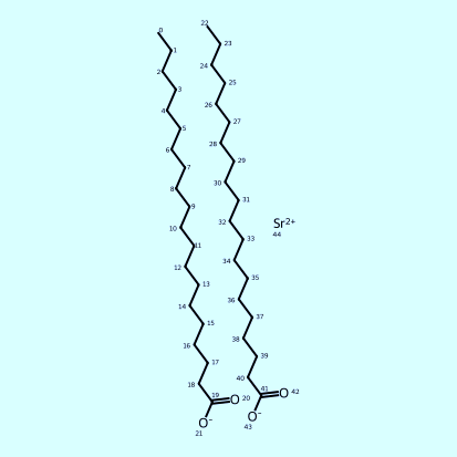 CCCCCCCCCCCCCCCCCCCC(=O)[O-].CCCCCCCCCCCCCCCCCCCC(=O)[O-].[Sr+2]